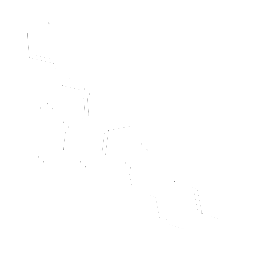 Nc1nc2c(cnn2Cc2ccc(F)cc2)c2nc(-c3ccco3)nn12